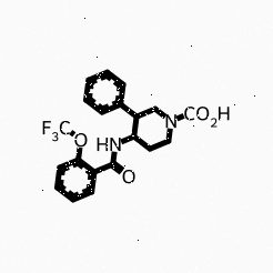 O=C(NC1CCN(C(=O)O)CC1c1ccccc1)c1ccccc1OC(F)(F)F